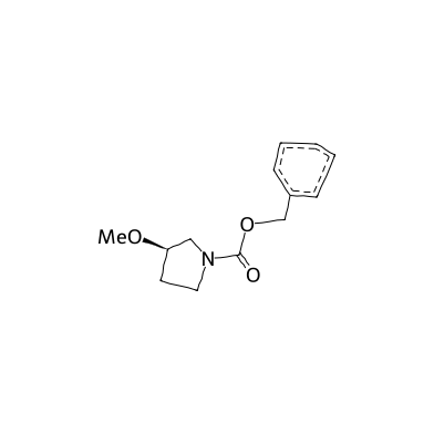 CO[C@@H]1CCN(C(=O)OCc2ccccc2)C1